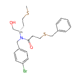 CSCC[C@@H](CO)N(Cc1ccc(Br)cc1)C(=O)CCSCc1ccccc1